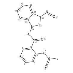 CC(=O)Oc1ccccc1C(=O)On1cc(C=O)c2ccccc21